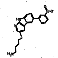 NCCCCCc1cnc2[nH]c3ccc(-c4cccc([N+](=O)[O-])c4)cc3c2c1